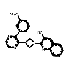 COc1cccc(-c2nccnc2C2CN(c3nc4ccccc4cc3C#N)C2)c1